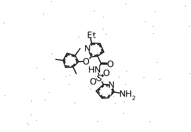 CCc1ccc(C(=O)NS(=O)(=O)c2cccc(N)n2)c(Oc2c(C)cc(C)cc2C)n1